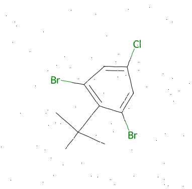 CC(C)(C)c1c(Br)cc(Cl)cc1Br